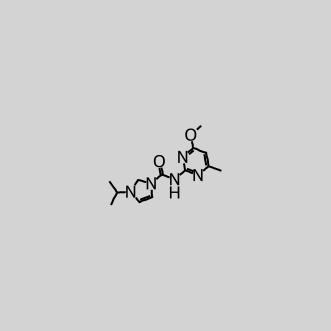 COc1cc(C)nc(NC(=O)N2C=CN(C(C)C)C2)n1